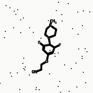 CN1CCN(C2C(F)=CC(OCCN=O)=CC2F)CC1